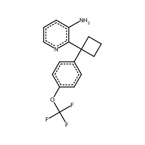 Nc1cccnc1C1(c2ccc(OC(F)(F)F)cc2)CCC1